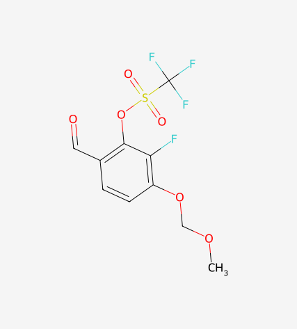 COCOc1ccc(C=O)c(OS(=O)(=O)C(F)(F)F)c1F